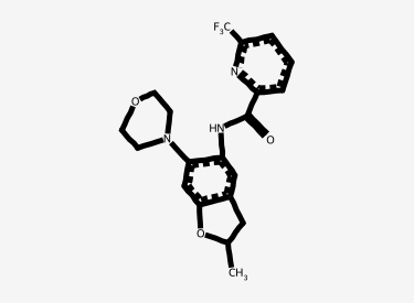 CC1Cc2cc(NC(=O)c3cccc(C(F)(F)F)n3)c(N3CCOCC3)cc2O1